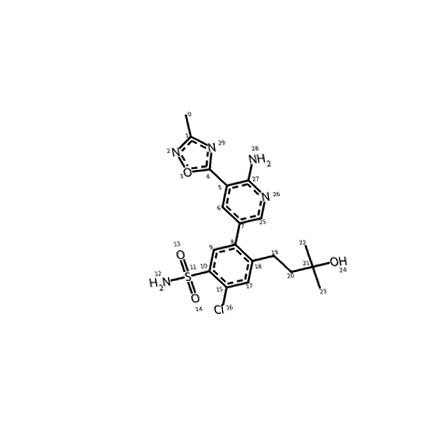 Cc1noc(-c2cc(-c3cc(S(N)(=O)=O)c(Cl)cc3CCC(C)(C)O)cnc2N)n1